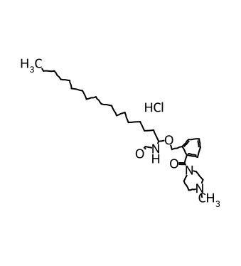 CCCCCCCCCCCCCCCCCC(NC=O)OCc1ccccc1C(=O)N1CCN(C)CC1.Cl